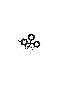 Cc1ccc(C2(c3ccccc3)C(=O)Nc3ccccc32)cc1